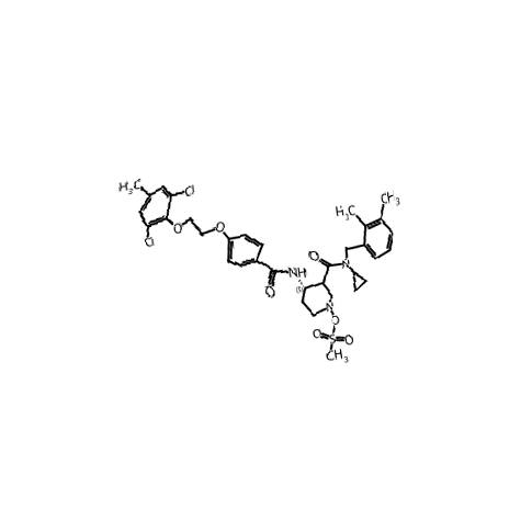 Cc1cc(Cl)c(OCCOc2ccc(C(=O)N[C@H]3CCN(OS(C)(=O)=O)CC3C(=O)N(Cc3cccc(C)c3C)C3CC3)cc2)c(Cl)c1